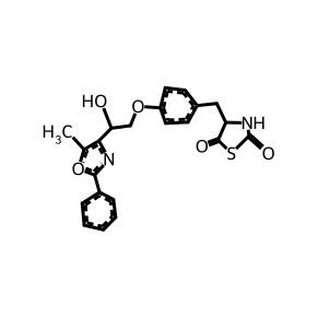 Cc1oc(-c2ccccc2)nc1C(O)COc1ccc(CC2NC(=O)SC2=O)cc1